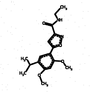 CCNC(=O)c1cc(-c2cc(C(C)C)c(OC)cc2OC)on1